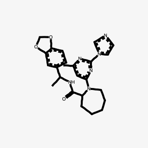 Cc1cc(N2CCCCCC2C(=O)NC(C)c2ccc3c(c2)OCO3)nc(-n2ccnc2)n1